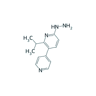 CC(C)c1nc(NN)ccc1-c1ccncc1